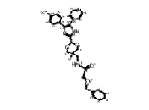 CC1(CNC(=O)COCc2ccccc2)COC(c2nc(-c3ccc(F)cc3)c(-c3ccncc3)[nH]2)OC1